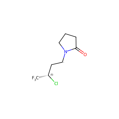 O=C1CCCN1[CH]C[C@H](Cl)C(F)(F)F